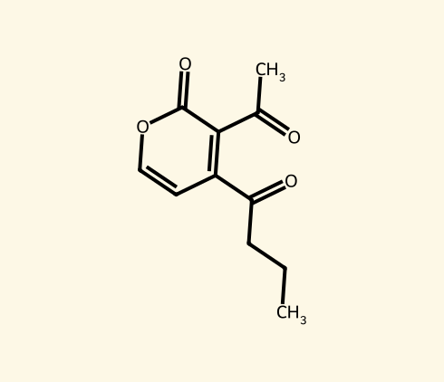 CCCC(=O)c1ccoc(=O)c1C(C)=O